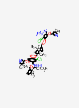 Cc1c(COc2cc(OCc3cncc(C#N)c3)c(CN)cc2Cl)cccc1-c1cccc(COc2cc(OCc3cncc(C#N)c3)c(CN[C@@H](C(=O)O)[C@H](C)OCc3ccccc3)cc2Cl)c1C